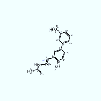 NC(=S)N/N=C/c1cc(-c2cccc(C(=O)O)c2)ccc1O